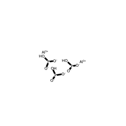 [Al+3].[Al+3].[O-]P([O-])O.[O-]P([O-])O.[O-]P([O-])O